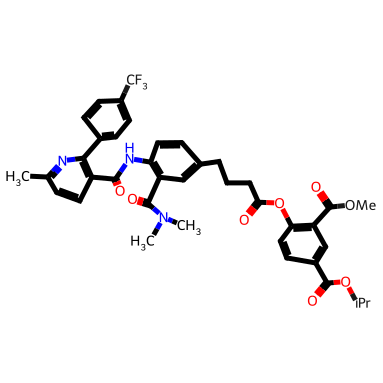 COC(=O)c1cc(C(=O)OC(C)C)ccc1OC(=O)CCCc1ccc(NC(=O)c2ccc(C)nc2-c2ccc(C(F)(F)F)cc2)c(C(=O)N(C)C)c1